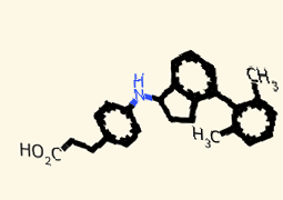 Cc1cccc(C)c1-c1cccc2c1CCC2Nc1ccc(CCC(=O)O)cc1